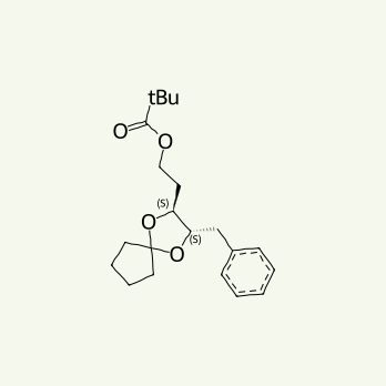 CC(C)(C)C(=O)OCC[C@@H]1OC2(CCCC2)O[C@H]1Cc1ccccc1